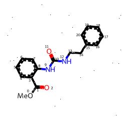 COC(=O)c1ccccc1NC(=O)NCCc1ccccc1